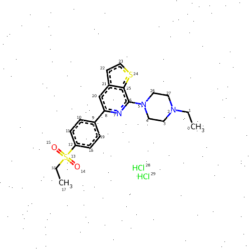 CCN1CCN(c2nc(-c3ccc(S(=O)(=O)CC)cc3)cc3ccsc23)CC1.Cl.Cl